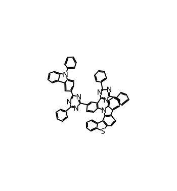 c1ccc(-c2nc(-c3ccc(-n4c5ccccc5c5ccc6sc7ccccc7c6c54)c(-c4nc(-c5ccccc5)nc(-c5ccccc5)n4)c3)nc(-c3ccc4c(c3)c3ccccc3n4-c3ccccc3)n2)cc1